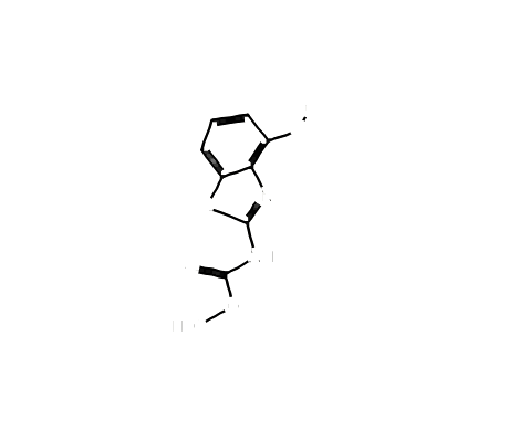 COC(=O)Nc1nc2c(OC)cccc2s1